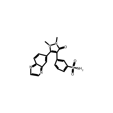 Cn1c(-c2ccc3nccnc3c2)c(-c2cccc(S(N)(=O)=O)c2)c(=O)n1C